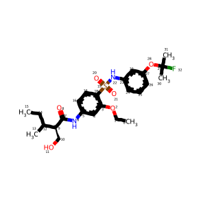 CCOc1cc(NC(=O)[C@@H](CO)C(C)CC)ccc1S(=O)(=O)Nc1cccc(OC(C)(C)F)c1